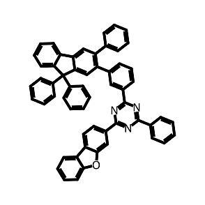 c1ccc(-c2nc(-c3cccc(-c4cc5c(cc4-c4ccccc4)-c4ccccc4C5(c4ccccc4)c4ccccc4)c3)nc(-c3ccc4c(c3)oc3ccccc34)n2)cc1